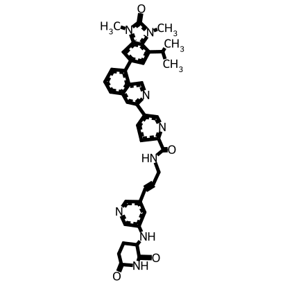 CC(C)c1cc(-c2cccc3cc(-c4ccc(C(=O)NCC#Cc5cncc(NC6CCC(=O)NC6=O)c5)nc4)ncc23)cc2c1n(C)c(=O)n2C